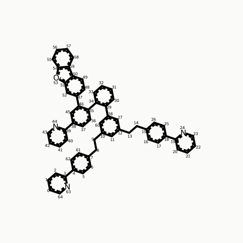 c1ccc(-c2ccc(CCc3cc(CCc4ccc(-c5ccccn5)cc4)cc(-c4ccccc4-c4ccc(-c5ccccn5)cc4-c4ccc5c(c4)oc4ccccc45)c3)cc2)nc1